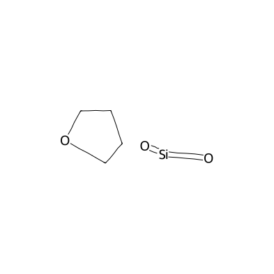 C1CCOC1.O=[Si]=O